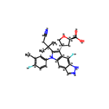 Cc1cc(-n2c(C(C)(C)CC#N)c([C@@H]3CO[C@@H](C(=O)O)C3)c3c(F)c4[nH]ncc4cc32)ccc1F